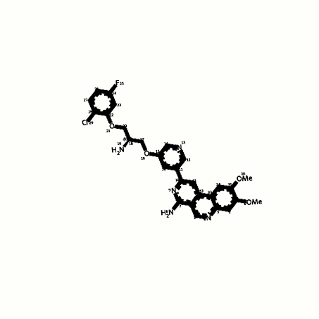 COc1cc2ncc3c(N)nc(-c4cncc(OC[C@@H](N)COc5cc(F)ccc5Cl)c4)cc3c2cc1OC